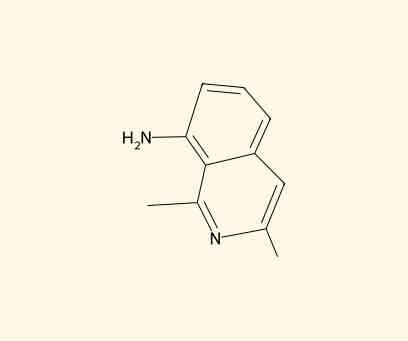 Cc1cc2cccc(N)c2c(C)n1